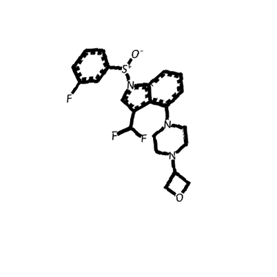 [O-][S+](c1cccc(F)c1)n1cc(C(F)F)c2c(N3CCN(C4COC4)CC3)cccc21